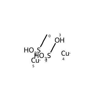 CS(=O)(=O)O.O=S(=O)(O)O.[Cu].[Cu]